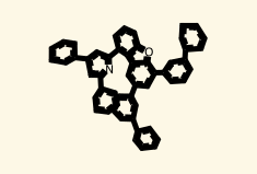 c1ccc(-c2cccc(-c3cc(-c4cccc(-c5ccccc5)c4)c4oc5cccc(-c6cc(-c7ccccc7)cc(-c7ccccc7)n6)c5c4c3)c2)cc1